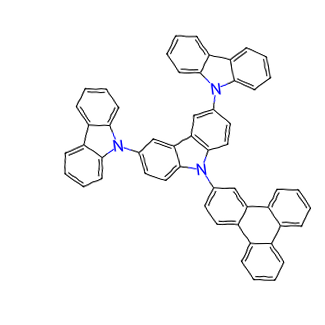 c1ccc2c(c1)c1ccccc1c1cc(-n3c4ccc(-n5c6ccccc6c6ccccc65)cc4c4cc(-n5c6ccccc6c6ccccc65)ccc43)ccc21